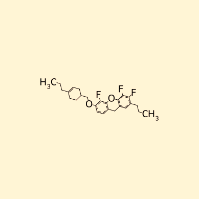 CCCC1=CCC(COc2ccc3c(c2F)Oc2c(cc(CCC)c(F)c2F)C3)CC1